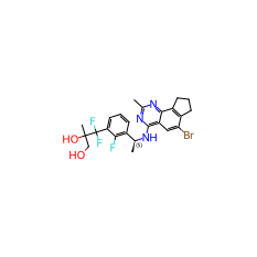 Cc1nc(N[C@@H](C)c2cccc(C(F)(F)C(C)(O)CO)c2F)c2cc(Br)c3c(c2n1)CCC3